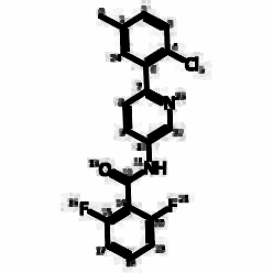 Cc1ccc(Cl)c(-c2ccc(NC(=O)c3c(F)cccc3F)cn2)c1